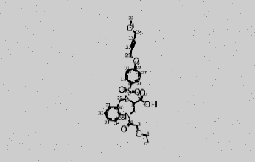 CCOCC(=O)N1CC(C(=O)O)N(S(=O)(=O)c2ccc(OCC#CCOC)cc2)Cc2ccccc21